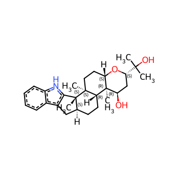 CC(C)(O)[C@@H]1C[C@@H](O)[C@]2(C)[C@H](CC[C@@]3(C)[C@H]2CC[C@H]2Cc4c([nH]c5ccccc45)[C@@]23C)O1